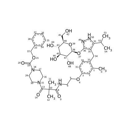 Cc1cc(OCCNC(=O)C(C)(C)C(=O)N2CCN(C(=O)OCc3ccccc3)CC2)ccc1Cc1c(O[C@@H]2O[C@H](CO)[C@@H](O)[C@H](O)[C@H]2O)n[nH]c1C(C)C